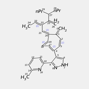 C=C1\C=C/C(c2c[nH]nc2-c2cccc(C)n2)=C/C=C/C1=C/C(=C\C)C(=C)C(CCC)CCC